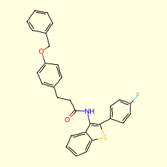 O=C(CCc1ccc(OCc2ccccc2)cc1)Nc1c(-c2ccc(F)cc2)sc2ccccc12